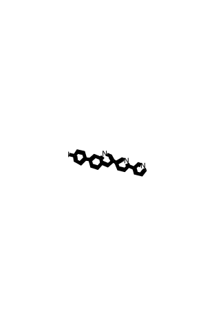 Ic1ccc(-c2ccc3cc(-c4ccc(-c5cccnc5)nc4)cnc3c2)cc1